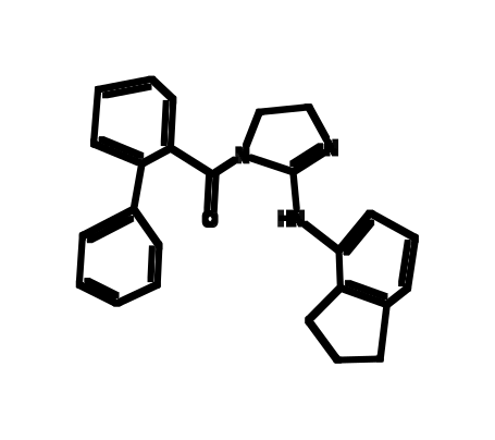 O=C(c1ccccc1-c1ccccc1)N1CCN=C1Nc1cccc2c1CCC2